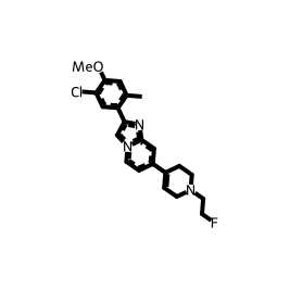 COc1cc(C)c(-c2cn3ccc(C4=CCN(CCF)CC4)cc3n2)cc1Cl